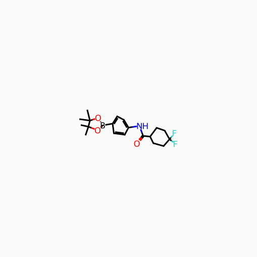 CC1(C)OB(c2ccc(NC(=O)C3CCC(F)(F)CC3)cc2)OC1(C)C